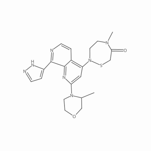 CC1COCCN1c1cc(N2CCN(C)C(=O)CS2)c2ccnc(-c3ccn[nH]3)c2n1